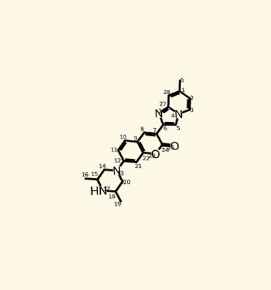 Cc1ccn2cc(-c3cc4ccc(N5CC(C)NC(C)C5)cc4oc3=O)nc2c1